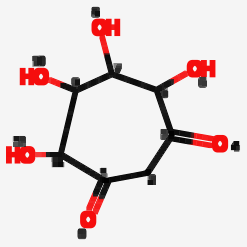 O=C1CC(=O)C(O)C(O)C(O)C1O